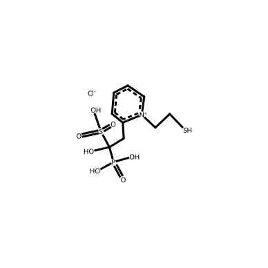 O=P(O)(O)C(O)(Cc1cccc[n+]1CCS)S(=O)(=O)O.[Cl-]